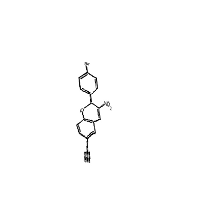 C#Cc1ccc2c(c1)C=C([N+](=O)[O-])C(c1ccc(Br)cc1)O2